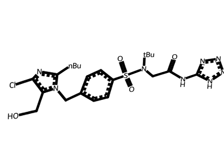 CCCCc1nc(Cl)c(CO)n1Cc1ccc(S(=O)(=O)N(CC(=O)Nc2nnn[nH]2)C(C)(C)C)cc1